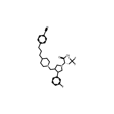 N#Cc1ccc(CCCC2CCN(CC3CN([C@@H](CC(F)(F)F)C(=O)O)CC3c3cccc(F)c3)CC2)cc1